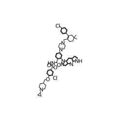 CC1(C)CCC(CN2CCN(c3ccc(C(=O)NS(=O)(=O)c4ccc(OCC5CCN(C6CC6)CC5)c(Cl)c4)c(-n4ncc5nc6[nH]ccc6cc54)c3)CC2)=C(c2ccc(Cl)cc2)C1